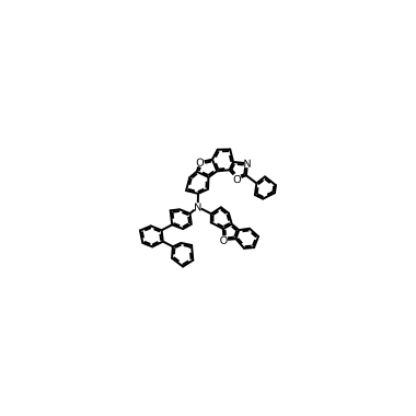 c1ccc(-c2nc3ccc4oc5ccc(N(c6ccc(-c7ccccc7-c7ccccc7)cc6)c6ccc7c(c6)oc6ccccc67)cc5c4c3o2)cc1